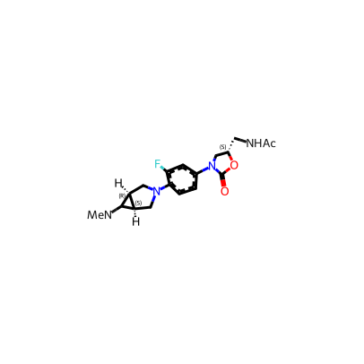 CNC1[C@H]2CN(c3ccc(N4C[C@H](CNC(C)=O)OC4=O)cc3F)C[C@@H]12